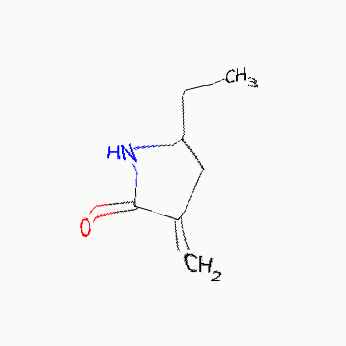 C=C1CC(CC)NC1=O